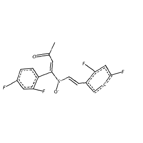 CC(=O)/C=C(\c1ccc(F)cc1F)[S+]([O-])C=Cc1ccc(F)cc1F